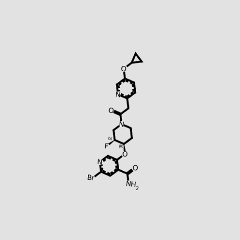 NC(=O)c1cc(Br)ncc1O[C@@H]1CCN(C(=O)Cc2ccc(OC3CC3)cn2)C[C@@H]1F